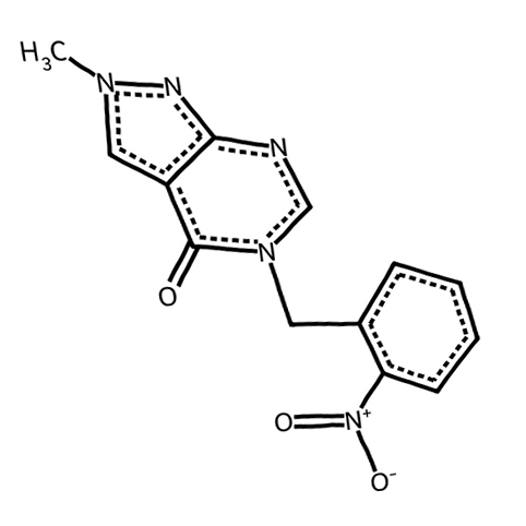 Cn1cc2c(=O)n(Cc3ccccc3[N+](=O)[O-])cnc2n1